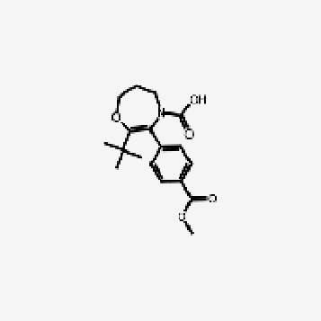 COC(=O)c1ccc(C2=C(C(C)(C)C)OCCCN2C(=O)O)cc1